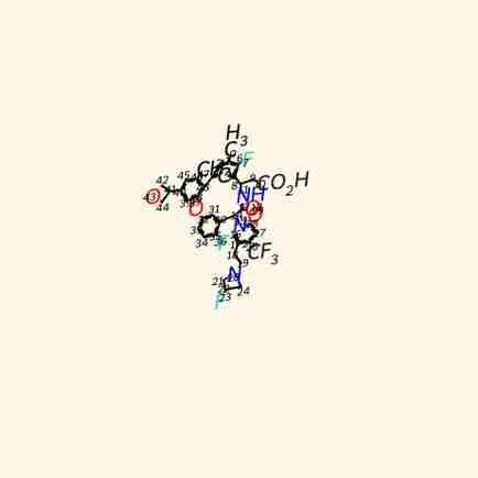 Cc1cc2cc(c1F)C(CC(=O)O)NC(=O)C(n1cc(CCN3CC(F)C3)c(C(F)(F)F)cc1=O)c1cc(ccc1F)Oc1cc(C3COC3)cc(C)c1-2